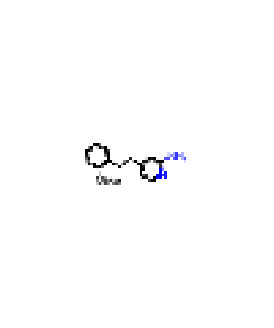 COc1ccccc1CCc1ccnc(N)c1